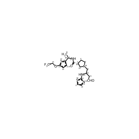 C[C@@H](NC(=O)[C@@H]1CCN(CC(CC=O)Nc2nccs2)C1)c1ccc(OCC(F)(F)F)s1